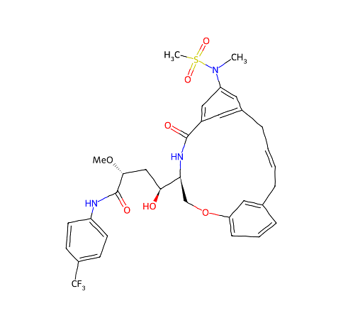 CO[C@H](C[C@H](O)[C@@H]1COc2cccc(c2)C/C=C/Cc2cc(cc(N(C)S(C)(=O)=O)c2)C(=O)N1)C(=O)Nc1ccc(C(F)(F)F)cc1